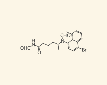 Cc1cccc2c(Br)ccc(N(C=O)C(C)CCCC(=O)NC=O)c12